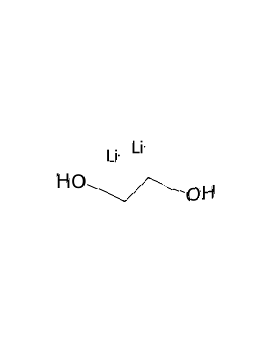 OCCO.[Li].[Li]